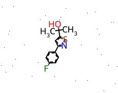 CC(C)(O)c1cc(-c2ccc(F)cc2)ns1